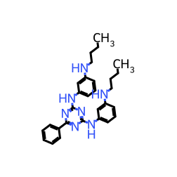 CCCCNc1cccc(Nc2nc(Nc3cccc(NCCCC)c3)nc(-c3ccccc3)n2)c1